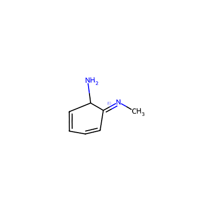 C/N=C1\C=CC=CC1N